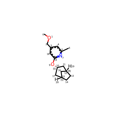 COCc1cc(C)nc(O[C@@H]2C[C@@H]3CC[C@@H](C3)C2)c1